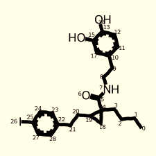 CCCCC1(C(=O)NCCc2ccc(O)c(O)c2)CC1CCc1ccc(I)cc1